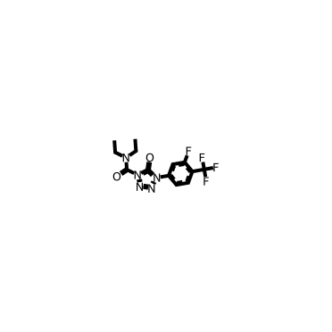 CCN(CC)C(=O)n1nnn(-c2ccc(C(F)(F)F)c(F)c2)c1=O